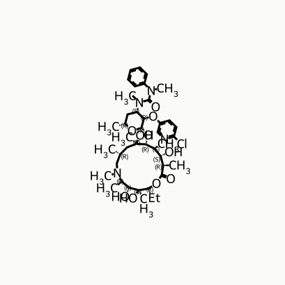 CC[C@H]1OC(=O)[C@H](C)[C@@H](O)[C@H](C)[C@@H](O[C@@H]2O[C@H](C)C[C@H](N(C)C(=O)N(C)c3ccccc3)[C@H]2Oc2ccc(Cl)nc2)[C@](C)(O)C[C@@H](C)CN(C)[C@H](C)[C@@H](O)[C@]1(C)O